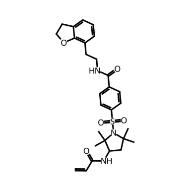 C=CC(=O)NC1CC(C)(C)N(S(=O)(=O)c2ccc(C(=O)NCCc3cccc4c3OCC4)cc2)C1(C)C